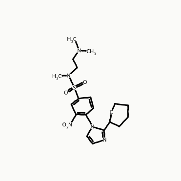 CN(C)CCN(C)S(=O)(=O)c1ccc(-n2ccnc2C2CCCCC2)c([N+](=O)[O-])c1